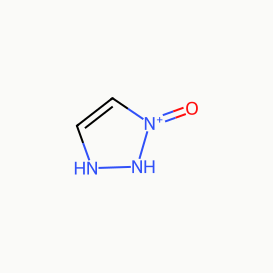 O=[n+]1cc[nH][nH]1